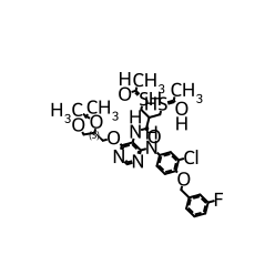 CC(O)=[SH]CC(C[SH]=C(C)O)C(=O)Nc1c(Nc2ccc(OCc3cccc(F)c3)c(Cl)c2)ncnc1OC[C@H]1COC(C)(C)O1